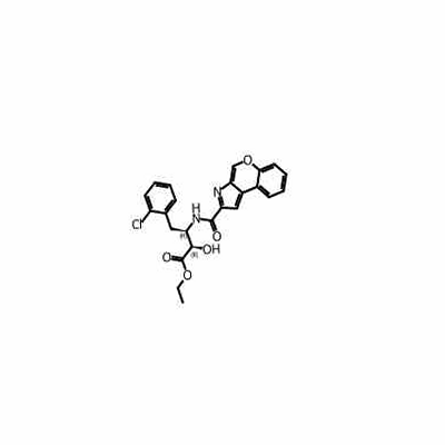 CCOC(=O)[C@H](O)[C@@H](Cc1ccccc1Cl)NC(=O)c1cc2c3ccccc3occ-2n1